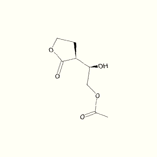 CC(=O)OC[C@H](O)[C@@H]1CCOC1=O